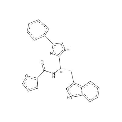 O=C(N[C@@H](Cc1c[nH]c2ccccc12)c1nc(-c2ccccc2)c[nH]1)c1ccco1